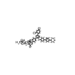 C[Si](C)(C)CCOCN1C(=O)CN(c2ccc(-n3cc(-c4ccc(Cl)cc4Cl)nc3Cc3ccc(-c4ccc(C5CCCCC5)cn4)cc3)cc2)S1(=O)=O